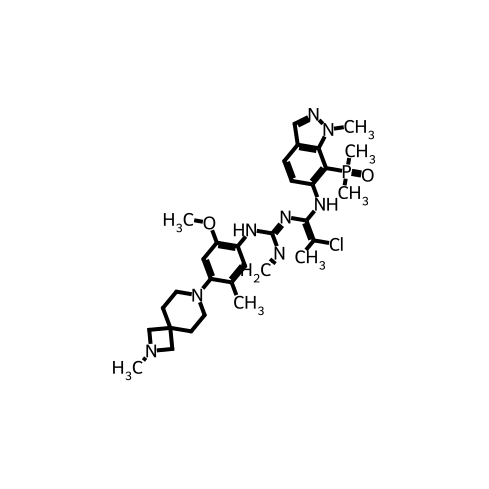 C=N/C(=N\C(Nc1ccc2cnn(C)c2c1P(C)(C)=O)=C(/C)Cl)Nc1cc(C)c(N2CCC3(CC2)CN(C)C3)cc1OC